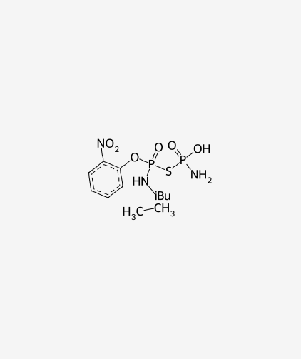 CC.CCC(C)NP(=O)(Oc1ccccc1[N+](=O)[O-])SP(N)(=O)O